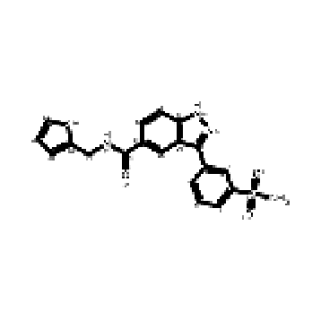 NS(=O)(=O)c1cccc(-c2n[nH]c3ccc(C(=O)NCc4cccs4)cc23)c1